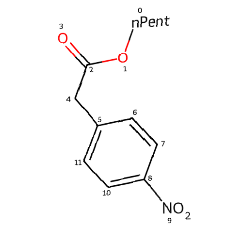 CCCCCOC(=O)Cc1ccc([N+](=O)[O-])cc1